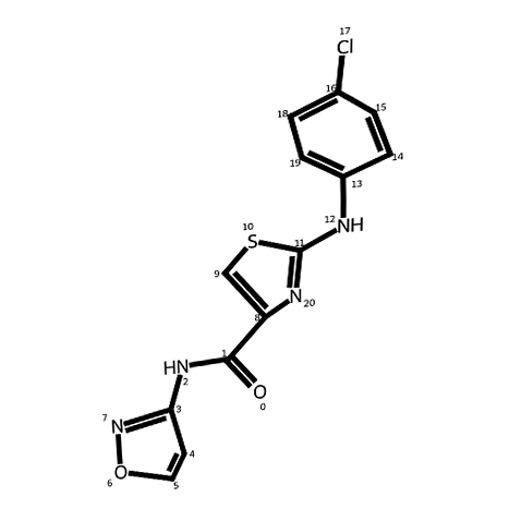 O=C(Nc1ccon1)c1csc(Nc2ccc(Cl)cc2)n1